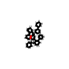 c1ccc(-c2cccc(N(c3ccc4c(c3)c3c(-c5ccccc5)cccc3n4-c3ccccc3)c3ccccc3-c3ccccc3)c2)cc1